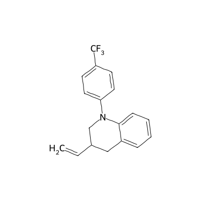 C=CC1Cc2ccccc2N(c2ccc(C(F)(F)F)cc2)C1